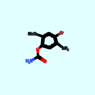 COc1cc(Br)c([N+](=O)[O-])cc1OC(N)=O